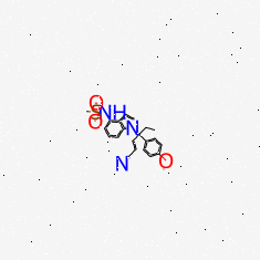 CCC(/C=C/C#N)(c1ccc(OC)cc1)n1ccc2c(NS(C)(=O)=O)cccc21